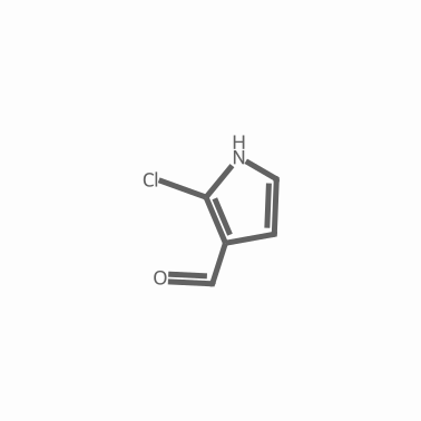 O=Cc1cc[nH]c1Cl